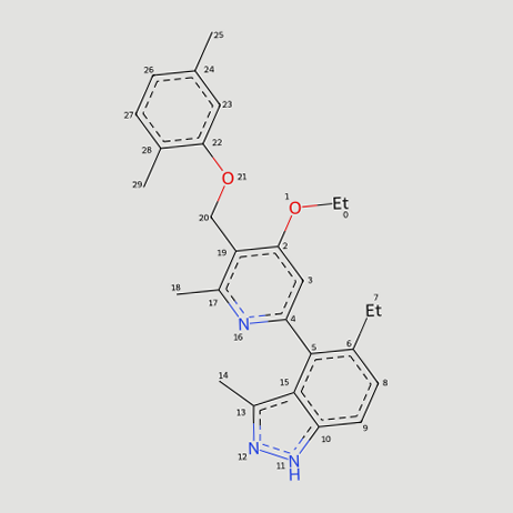 CCOc1cc(-c2c(CC)ccc3[nH]nc(C)c23)nc(C)c1COc1cc(C)ccc1C